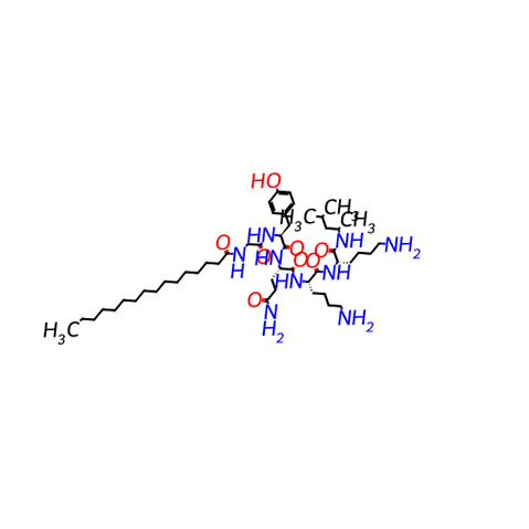 CCCCCCCCCCCCCCCC(=O)NCC(=O)N[C@@H](Cc1ccc(O)cc1)C(=O)N[C@@H](CCC(N)=O)C(=O)N[C@@H](CCCCN)C(=O)N[C@@H](CCCCN)C(=O)N[C@H](C)CC(C)C